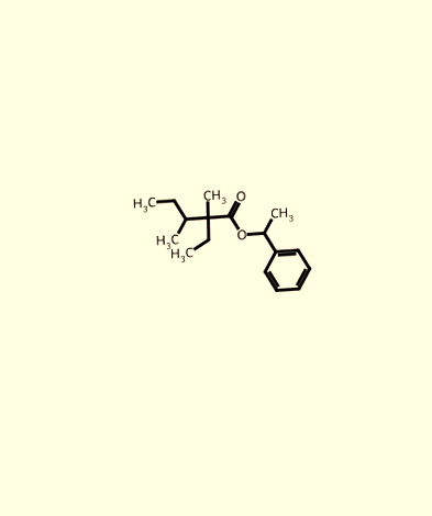 CCC(C)C(C)(CC)C(=O)OC(C)c1ccccc1